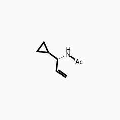 C=C[C@@H](NC(C)=O)C1CC1